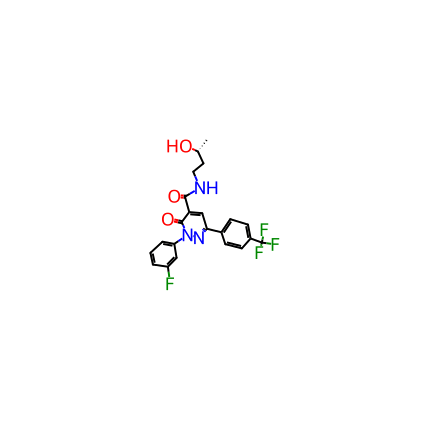 C[C@@H](O)CCNC(=O)c1cc(-c2ccc(C(F)(F)F)cc2)nn(-c2cccc(F)c2)c1=O